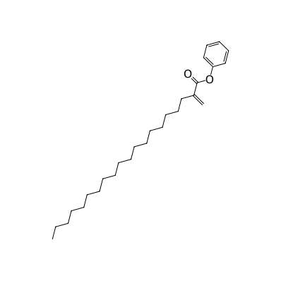 C=C(CCCCCCCCCCCCCCCCCC)C(=O)Oc1ccccc1